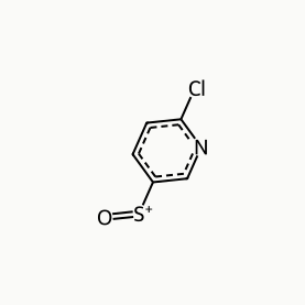 O=[S+]c1ccc(Cl)nc1